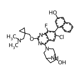 CN(C)CC1(COc2nc(N3CC4CC(O)C(C3)N4)c3cc(Cl)c(-c4cc(O)cc5ccccc45)c(F)c3n2)CC1